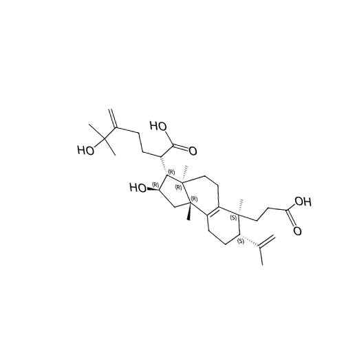 C=C(C)[C@@H]1CCC2=C(CC[C@]3(C)[C@@H](C(CCC(=C)C(C)(C)O)C(=O)O)[C@H](O)C[C@@]23C)[C@@]1(C)CCC(=O)O